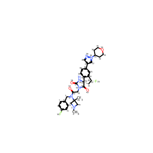 CN1CC(N(Cc2ccc(F)cc2)C(=O)CN2C(=O)N[C@]3(C[C@@H](F)c4cc(-c5cnn(C6CCOCC6)c5)ccc43)C2=O)(C(F)(F)F)C1